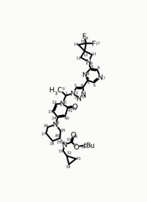 CC(n1cc(-c2cncc(N3CC4(C3)CC4(F)F)n2)nn1)n1ccc(N2CCC[C@@H](N(CC3CC3)C(=O)OC(C)(C)C)C2)cc1=O